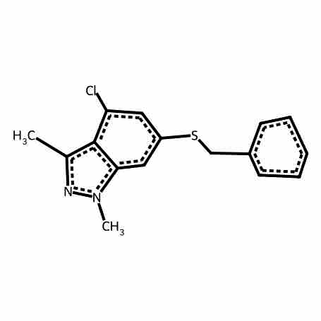 Cc1nn(C)c2cc(SCc3ccccc3)cc(Cl)c12